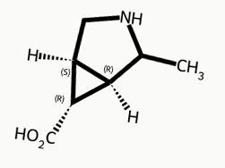 CC1NC[C@@H]2[C@@H](C(=O)O)[C@H]12